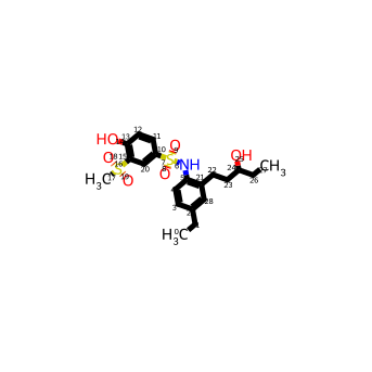 CCc1ccc(NS(=O)(=O)c2ccc(O)c(S(C)(=O)=O)c2)c(CCC(O)CC)c1